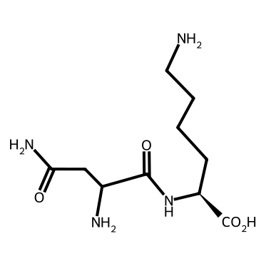 NCCCC[C@H](NC(=O)C(N)CC(N)=O)C(=O)O